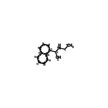 CCNC(O)c1cccc2ccccc12